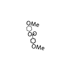 COc1ccc(C(=O)OC2CCC(OC)CC2)cc1